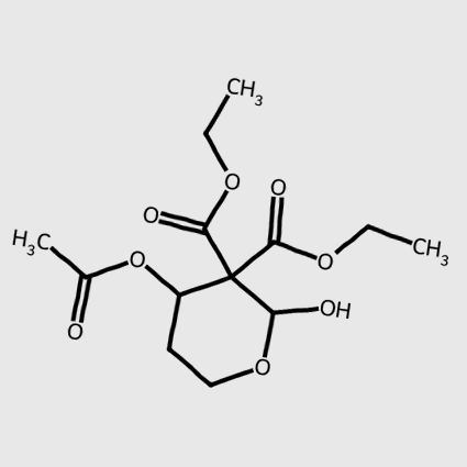 CCOC(=O)C1(C(=O)OCC)C(O)OCCC1OC(C)=O